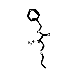 CCCOC[C@@H](N)C(=O)OCc1ccccc1